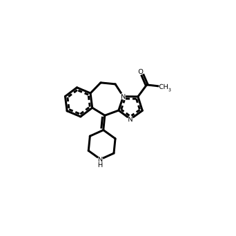 CC(=O)c1cnc2n1CCc1ccccc1C2=C1CCNCC1